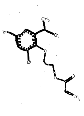 C=CC(=O)OCCOc1c(Br)cc(Br)cc1C(C)C